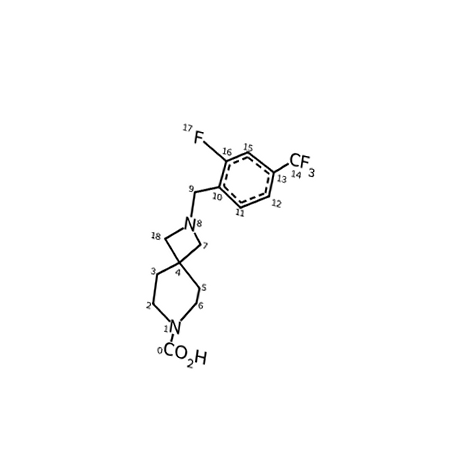 O=C(O)N1CCC2(CC1)CN(Cc1ccc(C(F)(F)F)cc1F)C2